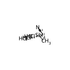 CCCC#N.Cl.Cl.Cl.Cl.[SiH4]